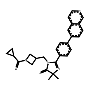 CC1(C)N=C(c2ccc(-c3ccc4cnccc4c3)cc2)N(CC2CN(C(=O)C3CC3)C2)C1=O